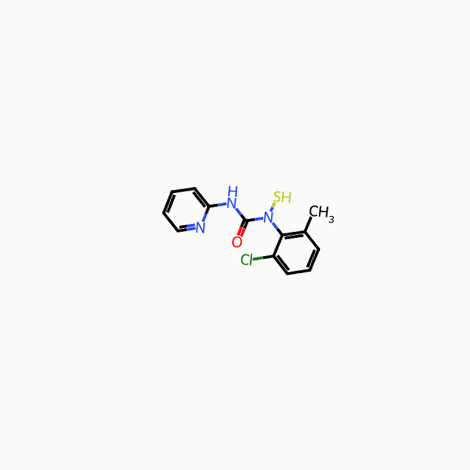 Cc1cccc(Cl)c1N(S)C(=O)Nc1ccccn1